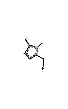 Cc1ccc(CF)n1C